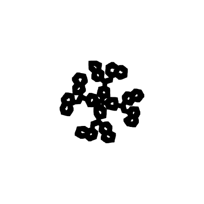 C(=C(c1cc[c]([Sn]([c]2ccc(C(=Cc3cccc4ccccc34)c3ccc4ccccc4c3)cc2)([c]2ccc(C(=Cc3cccc4ccccc34)c3ccc4ccccc4c3)cc2)[c]2ccc(C(=Cc3cccc4ccccc34)c3ccc4ccccc4c3)cc2)cc1)c1ccc2ccccc2c1)c1cccc2ccccc12